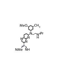 CN/C=C(\C=N)c1cnc2ccc(N(CCNC(C)C)c3cc(C)cc(OC)c3)nc2n1